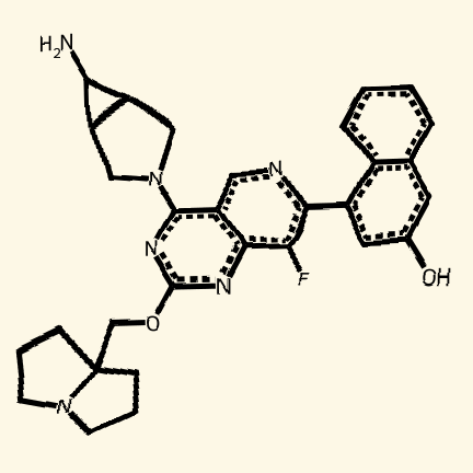 NC1C2CN(c3nc(OCC45CCCN4CCC5)nc4c(F)c(-c5cc(O)cc6ccccc56)ncc34)CC12